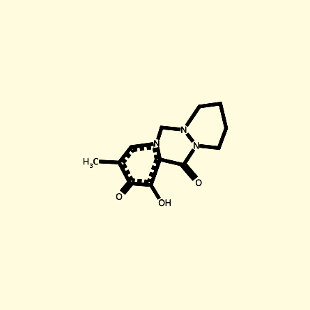 Cc1cn2c(c(O)c1=O)C(=O)N1CCCCN1C2